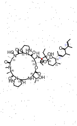 C/C=C(\C)C(=O)C(C)/C=C(\C)[C@H]1O[C@@](O)([C@](O)(CC)C(=O)N[C@@H]2C(=O)N3NCCC[C@H]3C(=O)N(O)[C@@H](C)C(=O)N(C)[C@H](C)C(=O)N3NCCC[C@H]3CN[C@H]([C@H](C)O)C(=O)O[C@H]2C(C)C)CC[C@@H]1C